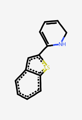 C1=CCNC(c2cc3ccccc3s2)=C1